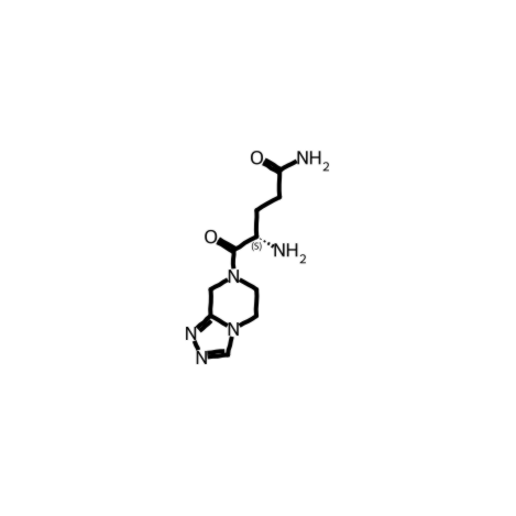 NC(=O)CC[C@H](N)C(=O)N1CCn2cnnc2C1